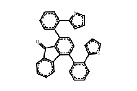 O=C1c2ccccc2-c2c(-c3ccccc3-c3cccs3)ccc(-c3ccccc3-c3cccs3)c21